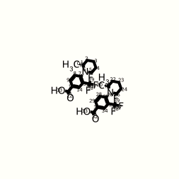 C[C@@H]1CCCCN1c1ccc(C(=O)O)cc1C(F)(F)F.C[C@H]1CCCCN1c1ccc(C(=O)O)cc1C(F)(F)F